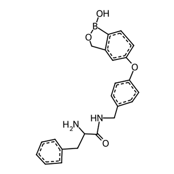 NC(Cc1ccccc1)C(=O)NCc1ccc(Oc2ccc3c(c2)COB3O)cc1